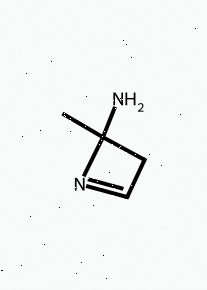 CC1(N)CC=N1